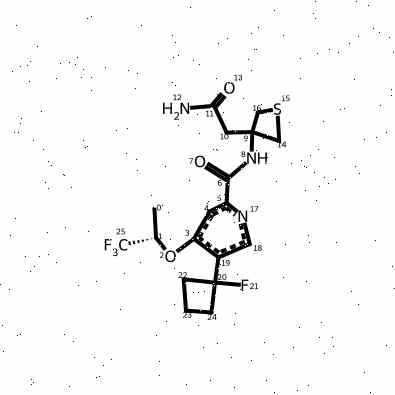 C[C@H](Oc1cc(C(=O)NC2(CC(N)=O)CSC2)ncc1C1(F)CCC1)C(F)(F)F